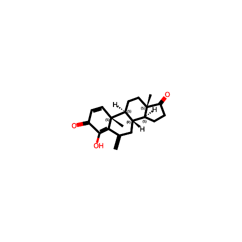 C=C1C[C@@H]2[C@H](CC[C@]3(C)C(=O)CC[C@@H]23)[C@@]2(C)C=CC(=O)C(O)=C12